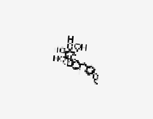 CCOc1ccc(Cc2cc3c(cc2F)CO[C@]32O[C@H](CO)[C@@H](O)[C@H](O)[C@H]2O)cc1